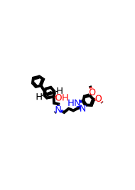 COc1cc2nc(CCCN(C)CC[C@]3(O)C[C@H]4CC[C@@H]3C=C4c3ccccc3)[nH]c2cc1OC